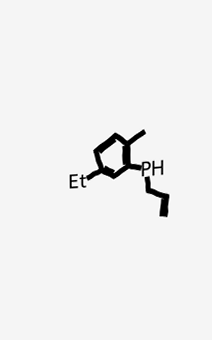 C=CCPc1cc(CC)ccc1C